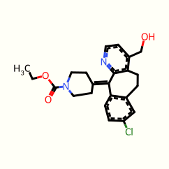 CCOC(=O)N1CCC(=C2c3ccc(Cl)cc3CCc3c(CO)ccnc32)CC1